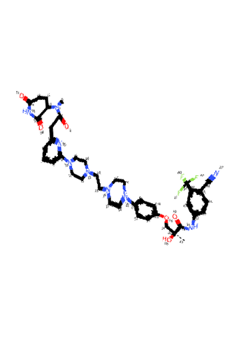 CN(C(=O)Cc1cccc(N2CCN(CCN3CCN(c4ccc(OC[C@](C)(O)C(=O)Nc5ccc(C#N)c(C(F)(F)F)c5)cc4)CC3)CC2)n1)C1CCC(=O)NC1=O